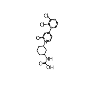 O=C(O)NC1CCCC(n2ccc(-c3cccc(Cl)c3Cl)cc2=O)C1